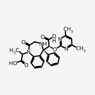 Cc1cc(C)nc(O[C@H](C(=O)O)[C@@]2(c3ccccc3)NCC(=O)N(C(C)C(=O)O)c3ccccc32)n1